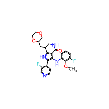 COc1c(F)cccc1Nc1c(-c2ccncc2F)[nH]c2c1C(=O)NCC2CC1COCCO1